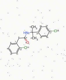 CC(C)(NC(=O)Cc1ccccc1Cl)c1ccc(Cl)cc1